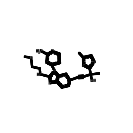 COCCNc1nc2ccc(C#CC(C)(O)c3nc(C)cs3)cc2n1-c1ccnc(N)n1